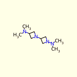 CN(C)C1CN(C2CN(N(C)C)C2)C1